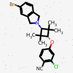 CC1(C)[C@H](Oc2ccc(C#N)c(Cl)c2)C(C)(C)[C@H]1N1Cc2ccc(Br)cc2C1